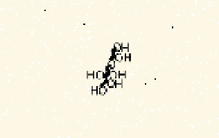 OCC(O)COC[C@H](O)[C@@H](O)[C@H](O)CO